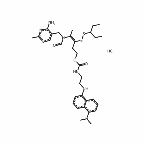 CCC(CC)SSC(CCOC(=O)NCCNc1cccc2c(N(C)C)cccc12)=C(C)N(C=O)Cc1cnc(C)nc1N.Cl